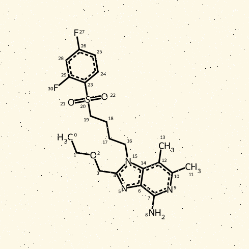 CCOCc1nc2c(N)nc(C)c(C)c2n1CCCCS(=O)(=O)c1ccc(F)cc1F